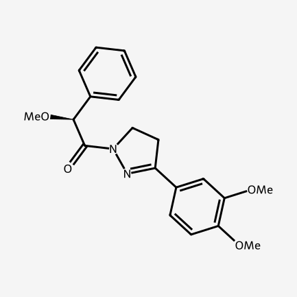 COc1ccc(C2=NN(C(=O)[C@@H](OC)c3ccccc3)CC2)cc1OC